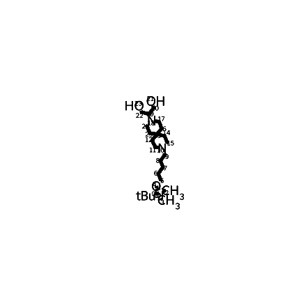 CC(C)(C)[Si](C)(C)OCCCCCN1CCC2(CC1)CCN(C(CO)CO)CC2